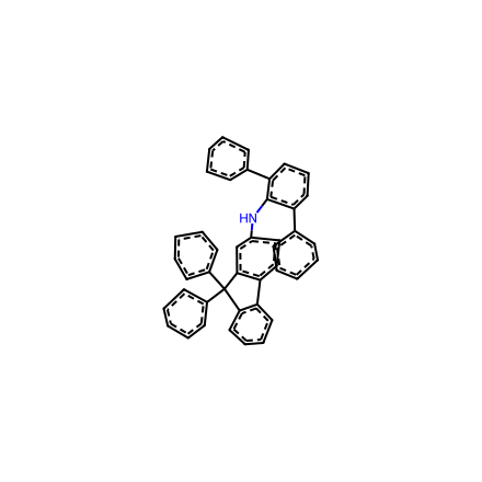 c1ccc(-c2cccc(-c3ccccc3)c2Nc2ccc3c(c2)C(c2ccccc2)(c2ccccc2)c2ccccc2-3)cc1